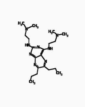 CCCc1nc2nc(NCCN(C)C)nc(NCCN(C)C)c2nc1CCC